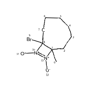 CC12CCCCCCC1(Br)[N+]([O-])=[N+]2[O-]